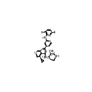 C[C@H]1CNCC[C@@H]1Nc1nc(-c2ccnc(Nc3nc(F)ccc3F)c2)nc2cncc(C3CC3)c12